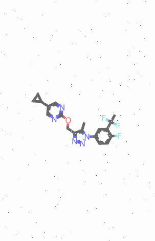 Cc1c(COc2ncc(C3CC3)cn2)nnn1-c1ccc(F)c(C(C)(F)F)c1